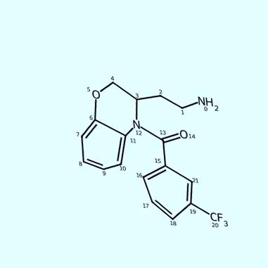 NCCC1COc2ccccc2N1C(=O)c1cccc(C(F)(F)F)c1